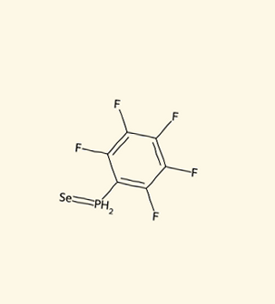 Fc1c(F)c(F)c([PH2]=[Se])c(F)c1F